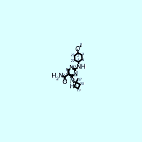 COC1CCC(Nc2ncc(C(N)=O)c(NC3(C)CCC3)n2)CC1